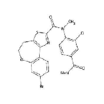 CNC(=O)c1ccc(N(C)C(=O)c2nc3c(s2)CCOc2cc(Br)ccc2-3)c(Cl)c1